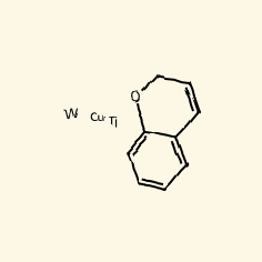 C1=Cc2ccccc2OC1.[Cu].[Ti].[W]